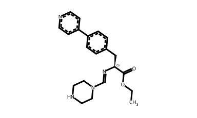 CCOC(=O)[C@H](Cc1ccc(-c2ccncc2)cc1)N=CN1CCNCC1